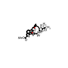 CCC(C)(C)C(=O)N[C@H]1Cc2ccc3c(c2)C2(c4ccccc4NC2O3)c2oc(nc2-c2nc(C(=O)OC)co2)[C@H](C(C)C)NC1=O